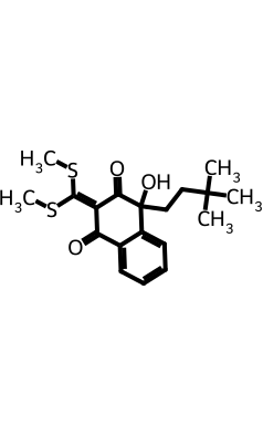 CSC(SC)=C1C(=O)c2ccccc2C(O)(CCC(C)(C)C)C1=O